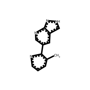 Cc1cccnc1-c1cnc2n[nH]cc2c1